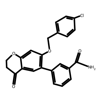 NC(=O)c1cccc(-c2cc3c(cc2OCc2ccc(Cl)cc2)OCCC3=O)c1